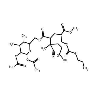 CCCSC(=S)SCC(CC(C(=O)OCC1O[C@H](OC(C)=O)C(OC(C)=O)[C@@H](C)[C@@H]1C)C(C)(C#N)CCC(=O)O)C(=O)OC